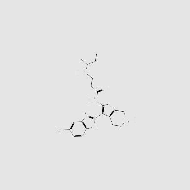 CCC(C)NCCC(=O)Nc1sc2c(c1-c1nc3cc(Br)ccc3s1)CCNC2